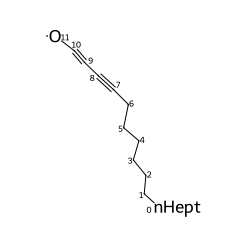 CCCCCCCCCCCCCC#CC#C[O]